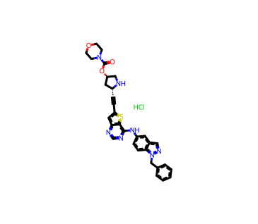 Cl.O=C(O[C@H]1CN[C@H](C#Cc2cc3ncnc(Nc4ccc5c(cnn5Cc5ccccc5)c4)c3s2)C1)N1CCOCC1